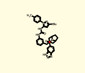 Cc1ccc(-n2nc(C(C)(C)C)cc2NC(=O)Nc2cccc(CC3CC4CCC(C3)N4C(=O)c3ccc4nn[nH]c4c3)c2)cc1